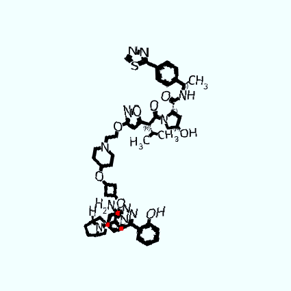 CC(C)[C@@H](C(=O)N1C[C@H](O)C[C@H]1C(=O)N[C@@H](C)c1ccc(-c2nncs2)cc1)c1cc(OCCN2CCC(OC3CC(Oc4cc(N5C6CC[C@@H]5CN(c5cc(-c7ccccc7O)nnc5N)C6)ccn4)C3)CC2)no1